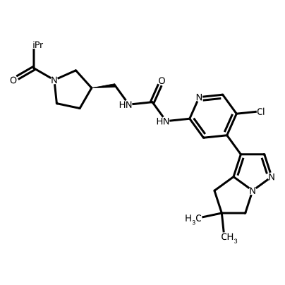 CC(C)C(=O)N1CC[C@H](CNC(=O)Nc2cc(-c3cnn4c3CC(C)(C)C4)c(Cl)cn2)C1